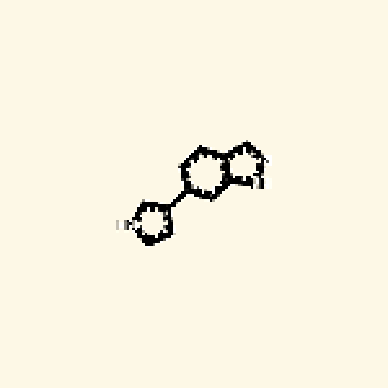 c1cc(-c2ccc3cn[nH]c3c2)c[nH]1